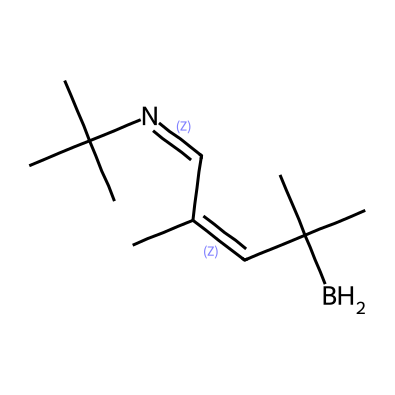 BC(C)(C)/C=C(C)\C=N/C(C)(C)C